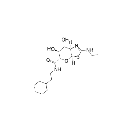 CCNC1=N[C@@H]2[C@@H](O)[C@H](O)[C@@H](C(=O)NCCC3CCCCC3)O[C@@H]2S1